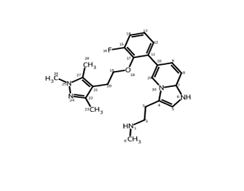 CNCCC1=CNC2C=CC(c3cccc(F)c3OCCc3c(C)nn(C)c3C)=CN12